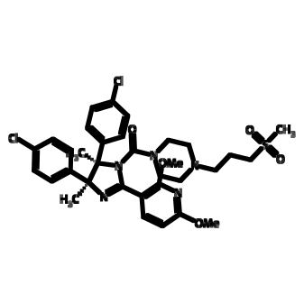 COc1ccc(C2=N[C@@](C)(c3ccc(Cl)cc3)[C@@](C)(c3ccc(Cl)cc3)N2C(=O)N2CCN(CCCS(C)(=O)=O)CC2)c(OC)n1